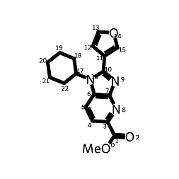 COC(=O)c1ccc2c(n1)nc(-c1ccoc1)n2C1CCCCC1